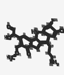 COCc1c(C(O)C=O)cc2n(c1=O)CC1=C(CCCN)c3cc(C)c(F)cc3NC12